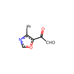 CC(C)c1ncoc1C(=O)C=O